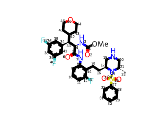 COC(=O)N[C@H](C(=O)Nc1cccc(F)c1CC[C@H]1CNC[C@H](C)N1S(=O)(=O)c1ccccc1)[C@@H](c1cc(F)cc(F)c1)C1CCOCC1